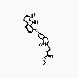 CCOC(=O)CCN1CCc2cc(Oc3cccc4c3NC3NCCCN43)ccc2C1=O